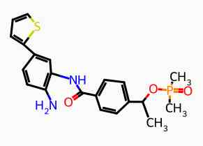 CC(OP(C)(C)=O)c1ccc(C(=O)Nc2cc(-c3cccs3)ccc2N)cc1